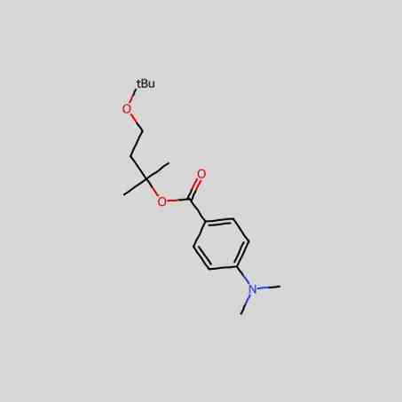 CN(C)c1ccc(C(=O)OC(C)(C)CCOC(C)(C)C)cc1